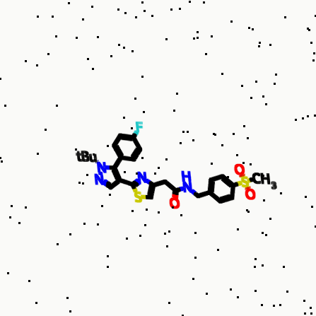 CC(C)(C)n1ncc(-c2nc(CC(=O)NCc3ccc(S(C)(=O)=O)cc3)cs2)c1-c1ccc(F)cc1